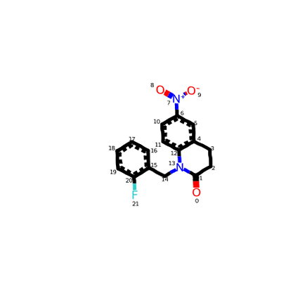 O=C1CCc2cc([N+](=O)[O-])ccc2N1Cc1ccccc1F